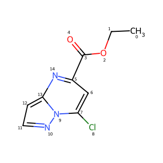 CCOC(=O)c1cc(Cl)n2nccc2n1